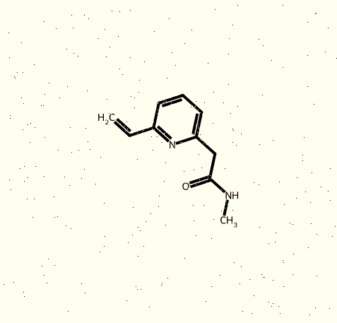 C=Cc1cccc(CC(=O)NC)n1